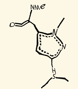 CNC(=O)c1cc([SH](C)C)nn1C